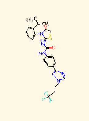 CC(C)c1ccccc1N1C(=O)CS/C1=N\C(=O)Nc1ccc(-c2ncn(CCCC(F)(F)F)n2)cc1